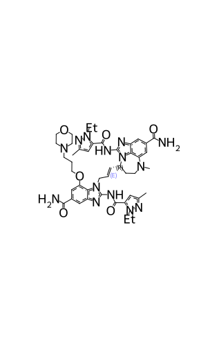 CCn1nc(C)cc1C(=O)Nc1nc2cc(C(N)=O)cc(OCCCN3CCOCC3)c2n1C/C=C/[C@H]1CCN(C)c2cc(C(N)=O)cc3nc(NC(=O)c4cc(C)nn4CC)n1c23